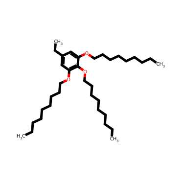 CCCCCCCCCOc1cc(CC)cc(OCCCCCCCCC)c1OCCCCCCCCC